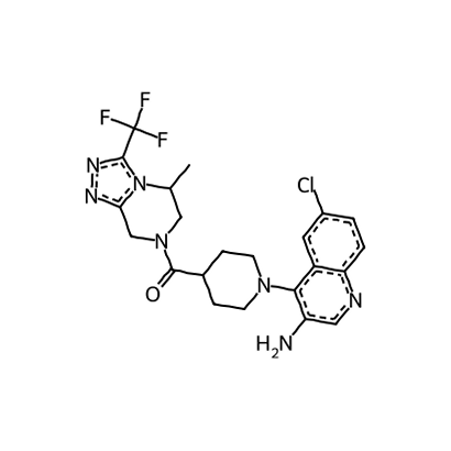 CC1CN(C(=O)C2CCN(c3c(N)cnc4ccc(Cl)cc34)CC2)Cc2nnc(C(F)(F)F)n21